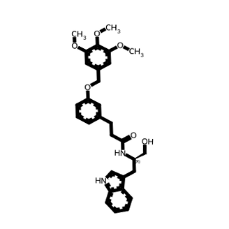 COc1cc(COc2cccc(CCC(=O)N[C@@H](CO)Cc3c[nH]c4ccccc34)c2)cc(OC)c1OC